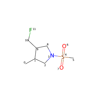 CC1CN(S(C)(=O)=O)CC1CF